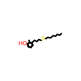 CCCCCCCCSCCCCc1cccc(O)c1C